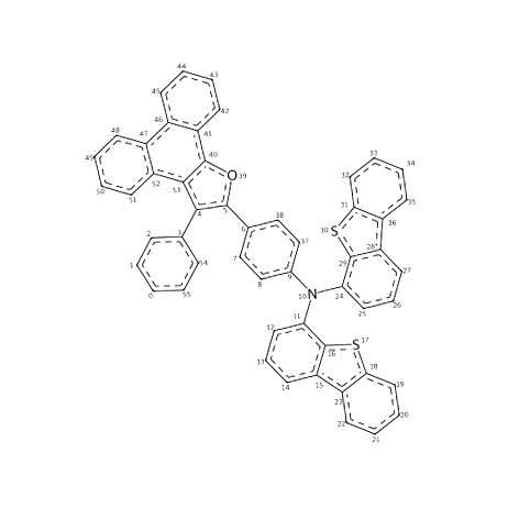 c1ccc(-c2c(-c3ccc(N(c4cccc5c4sc4ccccc45)c4cccc5c4sc4ccccc45)cc3)oc3c4ccccc4c4ccccc4c23)cc1